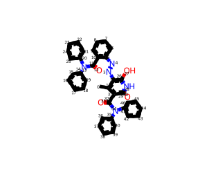 Cc1c(/N=N/c2ccccc2C(=O)N(c2ccccc2)c2ccccc2)c(O)[nH]c(=O)c1C(=O)N(c1ccccc1)c1ccccc1